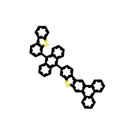 c1ccc2c(c1)sc1c(-c3c4ccccc4c(-c4ccc5c(c4)sc4cc6c7ccccc7c7ccccc7c6cc45)c4ccccc34)cccc12